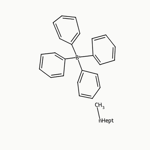 CCCCCCCC.c1ccc([B-](c2ccccc2)(c2ccccc2)c2ccccc2)cc1